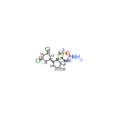 CC1(C)OC(N)=N[C@](C)(c2cc(-c3cc(Cl)cc(Cl)c3)ccc2F)C1(F)F